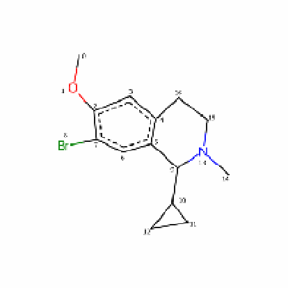 COc1cc2c(cc1Br)C(C1CC1)N(C)CC2